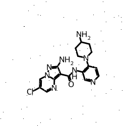 Nc1nn2cc(Cl)cnc2c1C(=O)Nc1cnccc1N1CCC(N)CC1